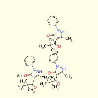 Cc1[nH]n(-c2ccccc2)c(=O)c1C(=O)C(C)(C)C.Cc1[nH]n(-c2ccccc2)c(=O)c1C(=O)C(C)(C)C.Cc1[nH]n(-c2ccccc2)c(=O)c1C(=O)C(C)(C)C.[Eu]